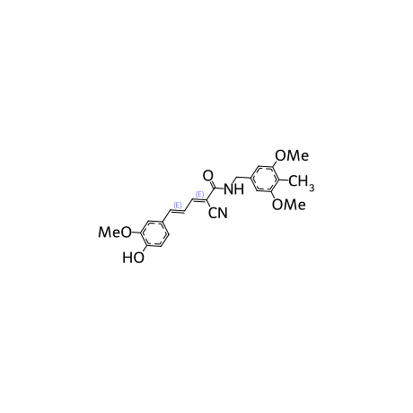 COc1cc(/C=C/C=C(\C#N)C(=O)NCc2cc(OC)c(C)c(OC)c2)ccc1O